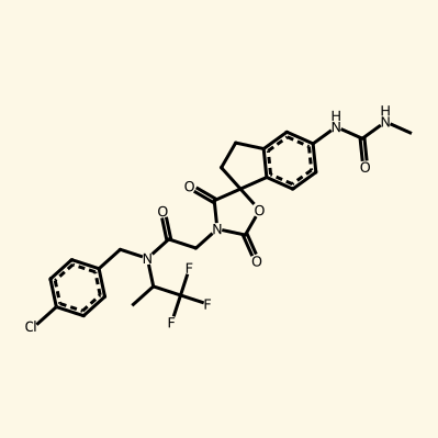 CNC(=O)Nc1ccc2c(c1)CCC21OC(=O)N(CC(=O)N(Cc2ccc(Cl)cc2)C(C)C(F)(F)F)C1=O